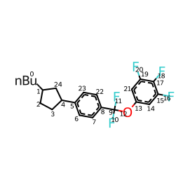 CCCCC1CCC(c2ccc(C(F)(F)Oc3cc(F)c(F)c(F)c3)cc2)C1